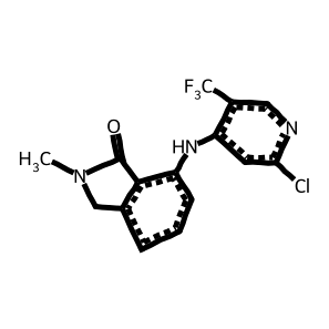 CN1Cc2cccc(Nc3cc(Cl)ncc3C(F)(F)F)c2C1=O